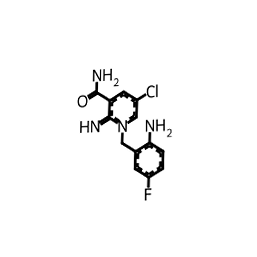 N=c1c(C(N)=O)cc(Cl)cn1Cc1cc(F)ccc1N